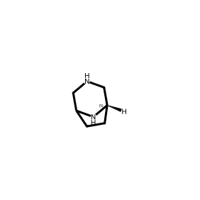 C1C[C@H]2CNCC1N2